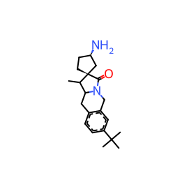 CC1C2Cc3ccc(C(C)(C)C)cc3CN2C(=O)[C@]12CC[C@@H](N)C2